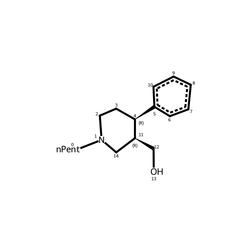 CCCCCN1CC[C@@H](c2ccccc2)[C@@H](CO)C1